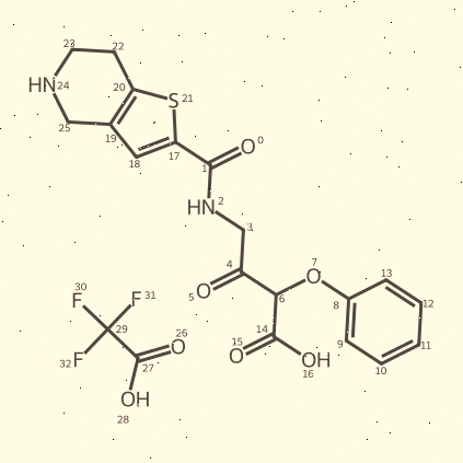 O=C(NCC(=O)C(Oc1ccccc1)C(=O)O)c1cc2c(s1)CCNC2.O=C(O)C(F)(F)F